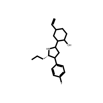 C=CC1CCC(O)C(C2CC(c3ccc(F)cc3)[C@H](CCC)N2)C1